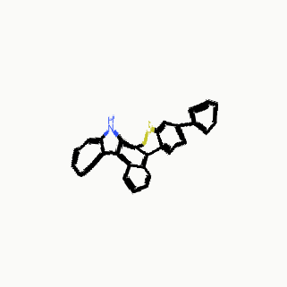 c1ccc(-c2ccc3c(c2)sc2c4[nH]c5ccccc5c4c4ccccc4c32)cc1